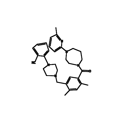 Cc1cccc(N2CCCN(C(=O)c3cc(CN4CCN(c5ccccc5C#N)CC4)c(C)cc3C)CC2)n1